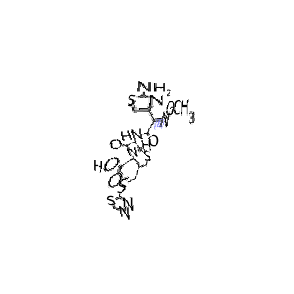 CO/N=C(/C(=O)NC1C(=O)N2C(C(=O)O)=C(CSc3nncs3)CS[C@H]12)c1csc(N)n1